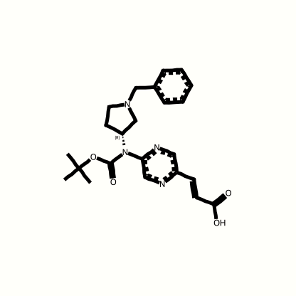 CC(C)(C)OC(=O)N(c1cnc(C=CC(=O)O)cn1)[C@@H]1CCN(Cc2ccccc2)C1